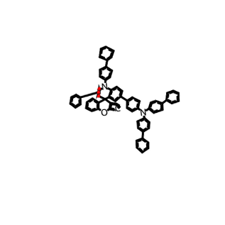 c1ccc(-c2ccc(N(c3ccc(-c4ccccc4)cc3)c3ccc(-c4ccc5c(c4)C4(c6ccccc6Oc6ccccc64)c4cc(-c6ccccc6)ccc4N5c4ccc(-c5ccccc5)cc4)cc3)cc2)cc1